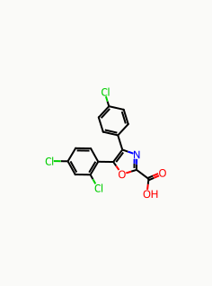 O=C(O)c1nc(-c2ccc(Cl)cc2)c(-c2ccc(Cl)cc2Cl)o1